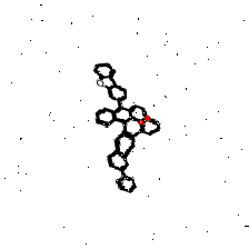 c1ccc(-c2ccc3cc(-c4c5ccccc5c(-c5ccc6c(c5)oc5ccccc56)c5ccccc45)c(-c4ccccc4)cc3c2)cc1